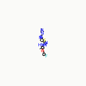 Cc1cc(Nc2ncnc3sc4c(c23)CCc2nn(CCN3CCN(C)CC3)cc2-4)ccc1OCc1cccc(F)c1